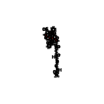 CC(=O)OC[C@]12SS[C@@]3(C[C@]4([C@]56C[C@@]78SS[C@@](COC(=O)OCCCCC(=O)NCCOCCOCCNC(=O)OC(C)(C)C)(C(=O)N7[C@H]5N(S(=O)(=O)c5ccccc5)c5ccccc56)N(C)C8=O)c5ccccc5N(S(=O)(=O)c5ccccc5)[C@@H]4N3C1=O)C(=O)N2C